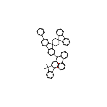 CC1(C)c2ccccc2-c2ccc(N(c3ccc4c(c3)C3(CCC5(CC3)c3ccccc3-c3ccccc35)c3cc(-c5ccccc5)ccc3-4)c3ccccc3-c3ccccc3)cc21